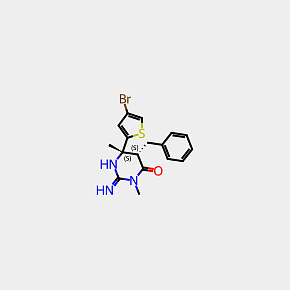 CN1C(=N)N[C@](C)(c2cc(Br)cs2)[C@H](Cc2ccccc2)C1=O